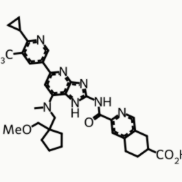 COCC1(CN(C)c2cc(-c3cnc(C4CC4)c(C(F)(F)F)c3)nc3nc(NC(=O)c4cc5c(cn4)CC(C(=O)O)CC5)[nH]c23)CCCC1